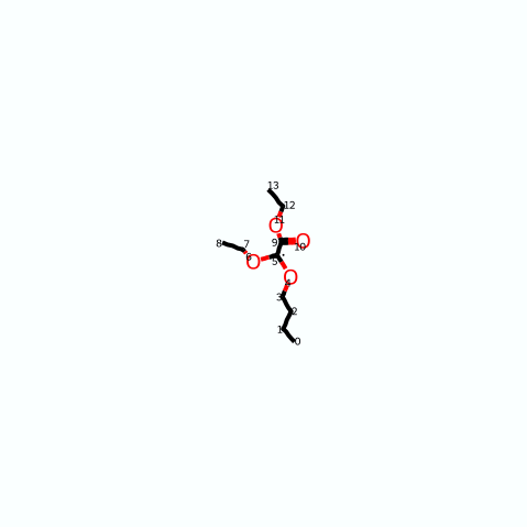 CCCCO[C](OCC)C(=O)OCC